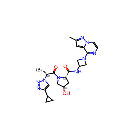 Cc1cc2c(N3CC(NC(=O)[C@@H]4C[C@@H](O)CN4C(=O)[C@@H](n4cc(C5CC5)nn4)C(C)(C)C)C3)nccn2n1